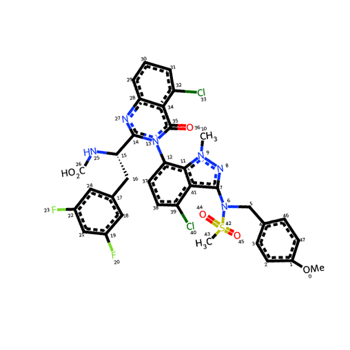 COc1ccc(CN(c2nn(C)c3c(-n4c([C@H](Cc5cc(F)cc(F)c5)NC(=O)O)nc5cccc(Cl)c5c4=O)ccc(Cl)c23)S(C)(=O)=O)cc1